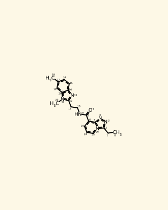 CCc1nnc2c(C(=O)NCCc3nc4ccc(C)cc4n3C)cccn12